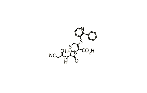 N#CCC(=O)N[C@@H]1C(=O)N2C(C(=O)O)=C(Sc3cccnc3-c3ccccc3)CS[C@@H]12